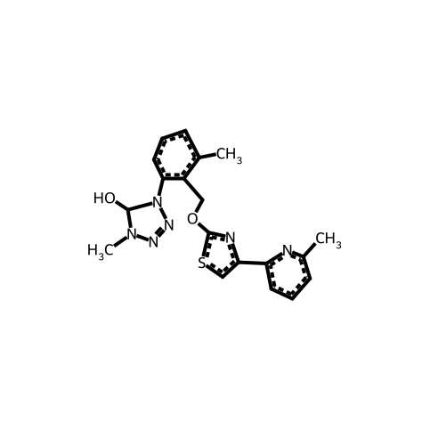 Cc1cccc(-c2csc(OCc3c(C)cccc3N3N=NN(C)C3O)n2)n1